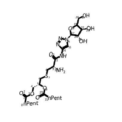 CCCCCC(=O)OC[C@H](CSC[C@@H](N)C(=O)Nc1cn([C@H]2OC(CO)[C@@H](O)[C@@H]2O)nn1)OC(=O)CCCCC